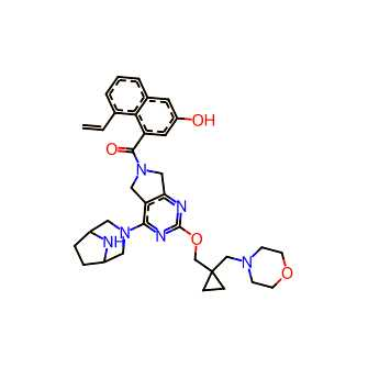 C=Cc1cccc2cc(O)cc(C(=O)N3Cc4nc(OCC5(CN6CCOCC6)CC5)nc(N5CC6CCC(C5)N6)c4C3)c12